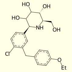 CCOc1ccc(Cc2cc([C@@H]3N[C@H](CO)[C@@H](O)C(O)C3O)ccc2Cl)cc1